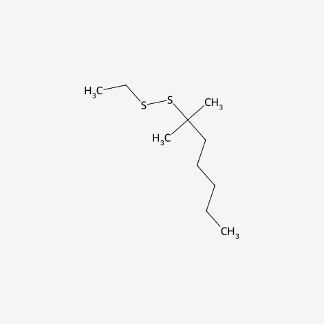 CCCCCC(C)(C)SSCC